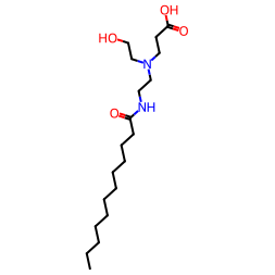 CCCCCCCCCCCC(=O)NCCN(CCO)CCC(=O)O